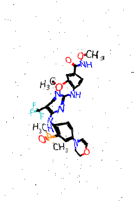 CONC(=O)c1ccc(Nc2ncc(C(F)(F)F)c(Nc3ccc(N4CCOCC4)cc3P(C)(C)=O)n2)c(OC)c1